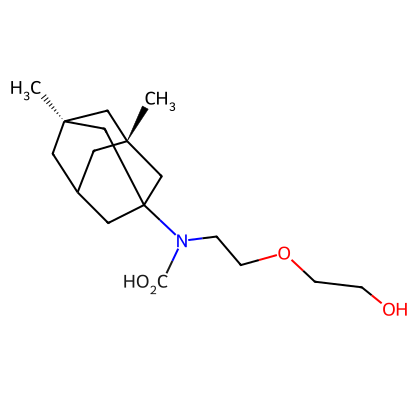 C[C@]12CC3CC(N(CCOCCO)C(=O)O)(C1)C[C@@](C)(C3)C2